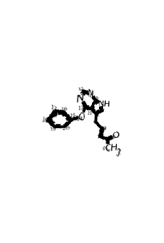 CC(=O)/C=C/Cc1c[nH]c2ncnc(Oc3ccccc3)c12